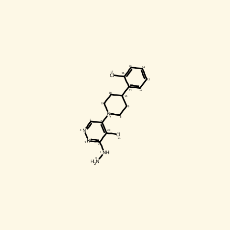 NNc1nncc(N2CCC(c3ccccc3Cl)CC2)c1Cl